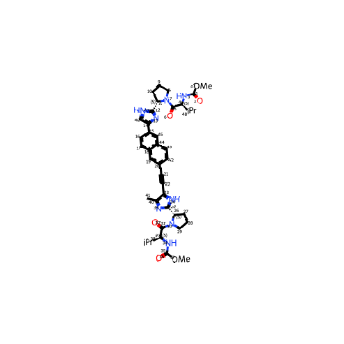 COC(=O)N[C@H](C(=O)N1CCC[C@H]1c1nc(-c2ccc3cc(C#Cc4[nH]c([C@@H]5CCCN5C(=O)[C@@H](NC(=O)OC)C(C)C)nc4C)ccc3c2)c[nH]1)C(C)C